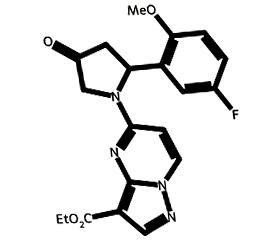 CCOC(=O)c1cnn2ccc(N3CC(=O)CC3c3cc(F)ccc3OC)nc12